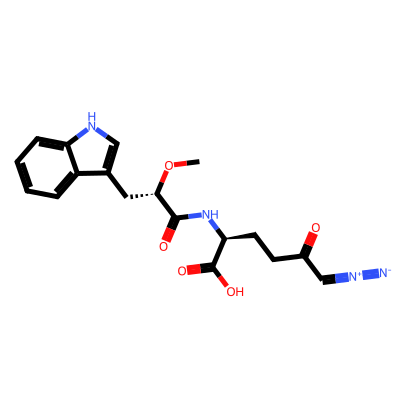 CO[C@@H](Cc1c[nH]c2ccccc12)C(=O)N[C@@H](CCC(=O)C=[N+]=[N-])C(=O)O